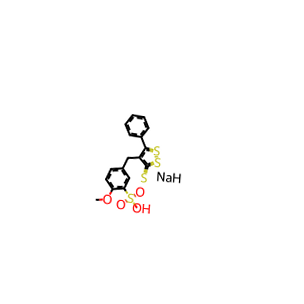 COc1ccc(Cc2c(-c3ccccc3)ssc2=S)cc1S(=O)(=O)O.[NaH]